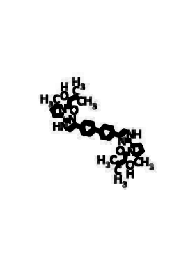 CC(C)[C@H](O)C(=O)N1[C@@H](C)CC[C@H]1c1nc(-c2ccc(-c3ccc(-c4c[nH]c([C@@H]5CC[C@H](C)N5C(=O)[C@@H](O)C(C)C)n4)cc3)cc2)c[nH]1